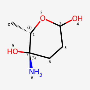 C[C@@H]1OC(O)CC[C@]1(N)O